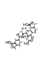 O=C(O)CN(C(=O)c1ccc2c(c1)B(O)OC2)[C@H]1CCCC[C@H]1NC(=O)c1ccc2c(c1)B(O)OC2